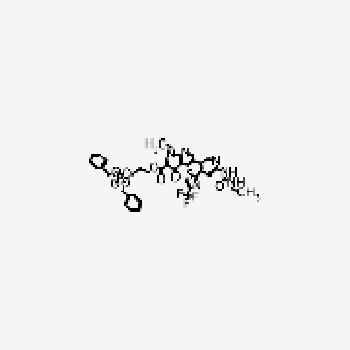 CCNC(=O)Nc1cc(-c2nc(C(F)(F)F)cs2)c(-c2cnc3c(c2)c(=O)c(C(=O)OCCCOP(=O)(OCc2ccccc2)OCc2ccccc2)cn3CC)cn1